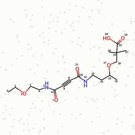 CCOCCNC(=O)C#CC(=O)NCCC(C)OCC(C)(C)C(=O)O